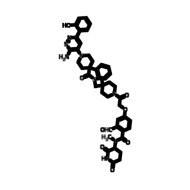 CN(C(=O)c1ccc(OCC(=O)N2CCC3(CC2)CN(C(=O)C2(c4ccccc4)CCN(c4cc(-c5ccccc5O)nnc4N)CC2)C3)cc1C=O)C1CCC(=O)NC1=O